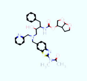 CC(=O)N(C)c1nc2ccc(CN(Cc3ccccn3)CC(O)C(Cc3ccccc3)NC(=O)OC3COC4OCCC34)cc2s1